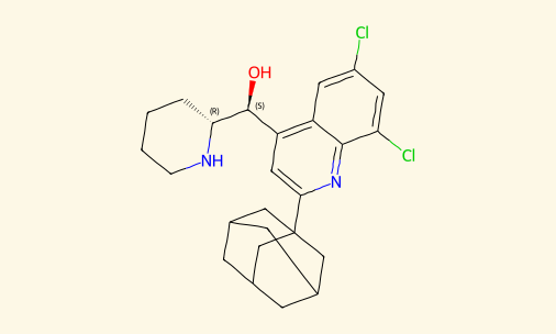 O[C@@H](c1cc(C23CC4CC(CC(C4)C2)C3)nc2c(Cl)cc(Cl)cc12)[C@H]1CCCCN1